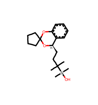 CC(C)(CC[C@H]1OC2(CCCC2)Oc2ccccc21)[Si](C)(C)O